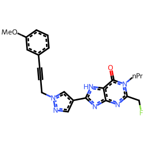 CCCn1c(CF)nc2nc(-c3cnn(CC#Cc4cccc(OC)c4)c3)[nH]c2c1=O